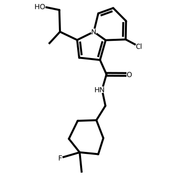 CC(CO)c1cc(C(=O)NCC2CCC(C)(F)CC2)c2c(Cl)cccn12